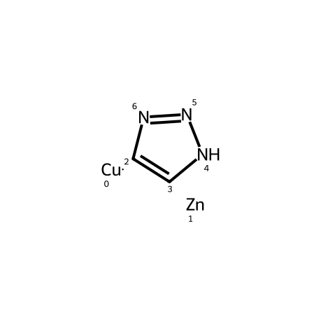 [Cu].[Zn].c1c[nH]nn1